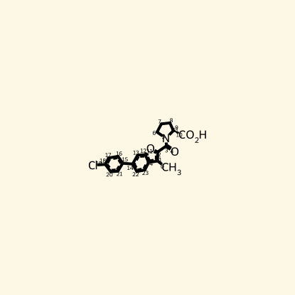 Cc1c(C(=O)N2CCC[C@H]2C(=O)O)oc2cc(-c3ccc(Cl)cc3)ccc12